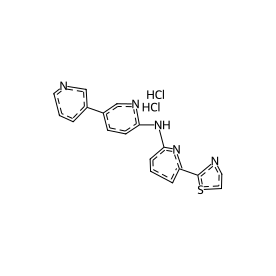 Cl.Cl.c1cncc(-c2ccc(Nc3cccc(-c4nccs4)n3)nc2)c1